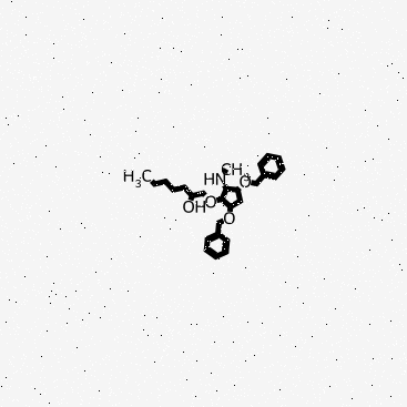 CCCCCC(O)COC1C(OCc2ccccc2)CC(OCc2ccccc2)C1NC